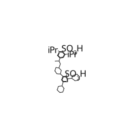 CC(C)c1cc(C(C)CC2CCCC(c3cc(C4CCCCC4)cc(C4CCCCC4)c3S(=O)(=O)O)C2)cc(C(C)C)c1S(=O)(=O)O